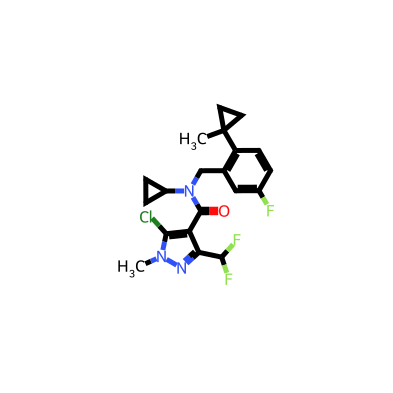 Cn1nc(C(F)F)c(C(=O)N(Cc2cc(F)ccc2C2(C)CC2)C2CC2)c1Cl